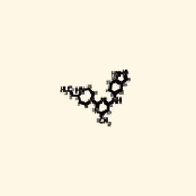 CCC1CCN(c2nc(C)cc(Nc3ccc4[nH]ncc4c3)n2)CCN1